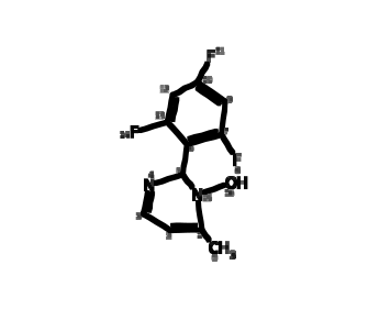 CC1=CC=NC(c2c(F)cc(F)cc2F)N1O